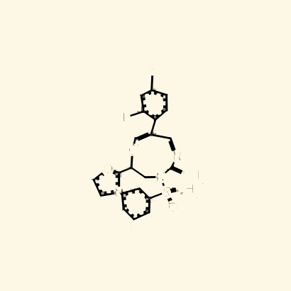 C=C1/N=C\C(c2ccc(F)cc2F)=C/CC(c2ncco2)CN1S(=C)(=O)c1ccccc1